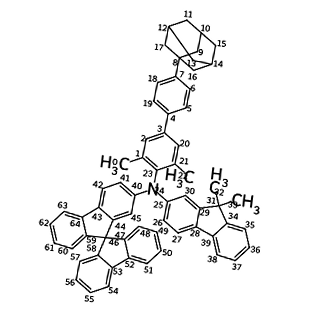 Cc1cc(-c2ccc(C34CC5CC(CC(C5)C3)C4)cc2)cc(C)c1N(c1ccc2c(c1)C(C)(C)c1ccccc1-2)c1ccc2c(c1)C1(c3ccccc3-c3ccccc31)c1ccccc1-2